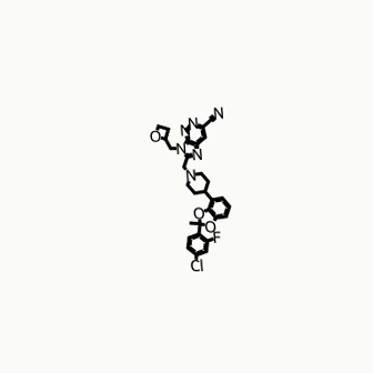 CC1(c2ccc(Cl)cc2F)Oc2cccc(C3CCN(Cc4nc5cc(C#N)nnc5n4CC4CCO4)CC3)c2O1